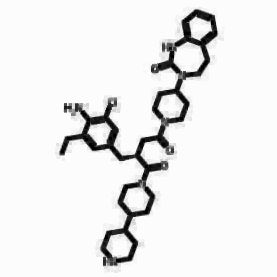 CCc1cc(C[C@@H](CC(=O)N2CCC(N3CCc4ccccc4NC3=O)CC2)C(=O)N2CCC(C3CCNCC3)CC2)cc(Cl)c1N